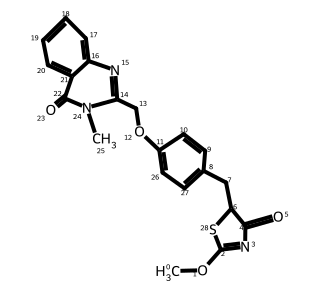 COC1=NC(=O)C(Cc2ccc(OCc3nc4ccccc4c(=O)n3C)cc2)S1